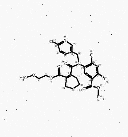 COCCOC(=O)C1=C(C(=O)N(Cc2ccc(Cl)nc2)c2cc(C(=O)OC)c(Cl)cc2Cl)CCCC1